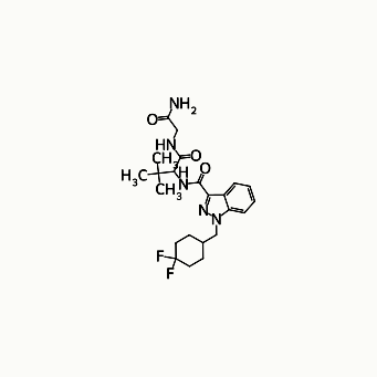 CC(C)(C)C(NC(=O)c1nn(CC2CCC(F)(F)CC2)c2ccccc12)C(=O)NCC(N)=O